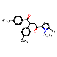 CCOC(=O)n1c(CC)ccc1C(=O)CC(C(=O)c1ccc(OC)cc1)c1ccc(OC)cc1